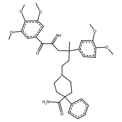 COc1ccc(C(C)(CCN2CCC(C(N)=O)(c3ccccc3)CC2)CC(=N)C(=O)c2cc(OC)c(OC)c(OC)c2)cc1OC